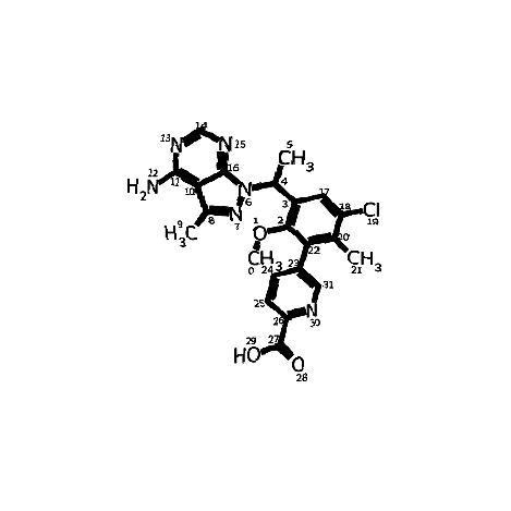 COc1c(C(C)n2nc(C)c3c(N)ncnc32)cc(Cl)c(C)c1-c1ccc(C(=O)O)nc1